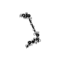 NC(=O)c1nn(-c2cccc(C(=O)NCCOCCOCCOCCOCCNc3cccc4c3C(=O)N(C3CCC(=O)NC3=O)C4=O)c2)cc1NC(=O)c1coc(-c2ccnc(NCC(F)(F)F)c2)n1